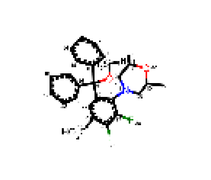 CC1CN(c2c(C(O[SiH2]C(C)(C)C)(c3ccccc3)c3ccccc3)cc(C(=O)O)c(F)c2F)CC(C)O1